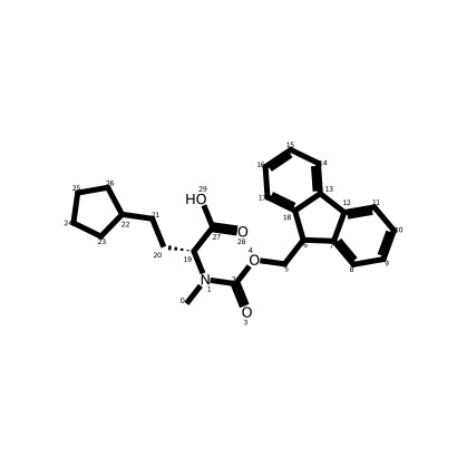 CN(C(=O)OCC1c2ccccc2-c2ccccc21)[C@H](CCC1CCCC1)C(=O)O